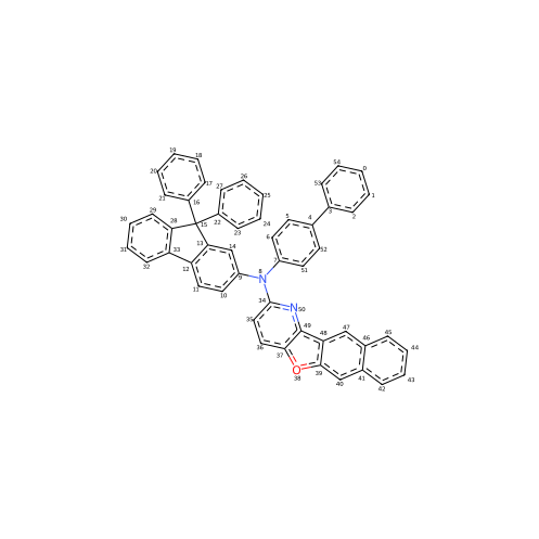 c1ccc(-c2ccc(N(c3ccc4c(c3)C(c3ccccc3)(c3ccccc3)c3ccccc3-4)c3ccc4oc5cc6ccccc6cc5c4n3)cc2)cc1